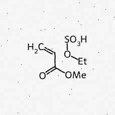 C=CC(=O)OC.CCOS(=O)(=O)O